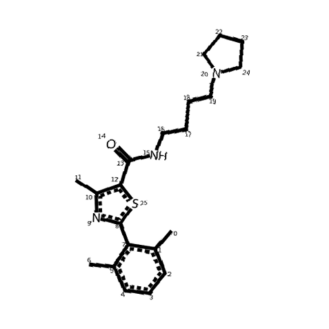 Cc1cccc(C)c1-c1nc(C)c(C(=O)NCCCCN2CCCC2)s1